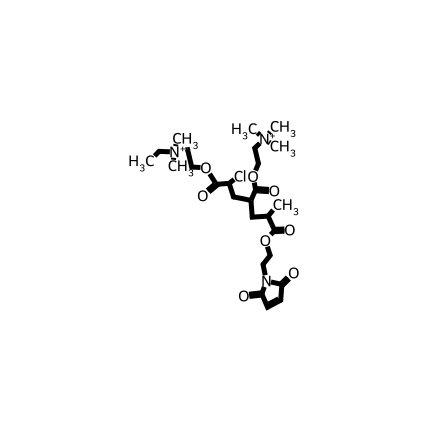 CC[N+](C)(C)CCOC(=O)C(Cl)CC(CC(C)C(=O)OCCN1C(=O)C=CC1=O)C(=O)OCC[N+](C)(C)C